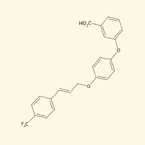 O=C(O)c1cccc(Oc2ccc(OCC=Cc3ccc(C(F)(F)F)cc3)cc2)c1